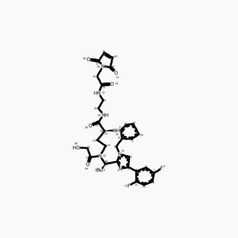 CC(C)(C)[C@H](c1nc(-c2cc(F)ccc2F)cn1Cc1ccccc1)N(CC[C@H](N)C(=O)NCCNC(=O)CN1C(=O)C=CC1=O)C(=O)CO